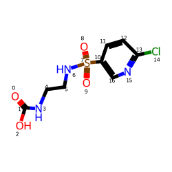 O=C(O)NCCNS(=O)(=O)c1ccc(Cl)nc1